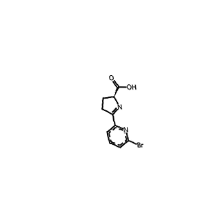 O=C(O)[C@@H]1CCC(c2cccc(Br)n2)=N1